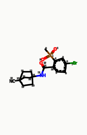 CS(=O)(=O)c1cc(Br)ccc1C(=O)NC12CCC(C#N)(CC1)CC2